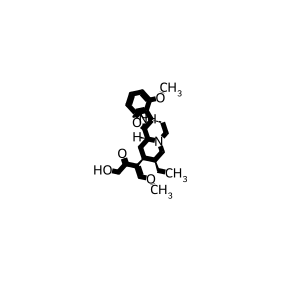 CC[C@@H]1CN2CC[C@@]34OCCO[C@@]3(Nc3cccc(OC)c34)[C@@H]2C[C@@H]1/C(=C\OC)C(=O)CO